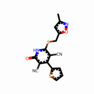 Cc1cc(CSc2[nH]c(=O)c(C#N)c(-c3cccs3)c2C#N)on1